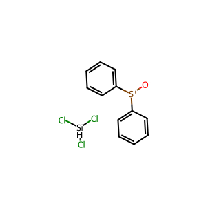 Cl[SiH](Cl)Cl.[O-][S+](c1ccccc1)c1ccccc1